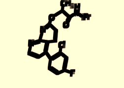 CC(C)NC(=O)C(C)Oc1ccc2c(-c3ccc(F)cc3Cl)ccnc2n1